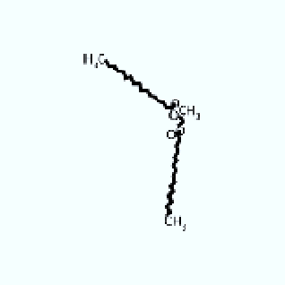 CCCCCCCCCCCCCCCCCC(=O)OCCC(C)OC(=O)CCCCCCCCCCCCCCCCC